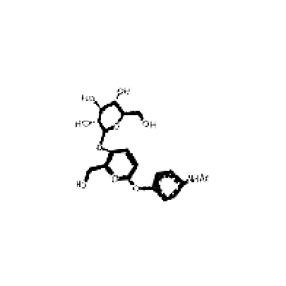 CC(=O)Nc1ccc(O[C@@H]2C=C[C@H](OC3OC(CO)[C@@H](O)[C@H](O)[C@H]3O)C(CO)O2)cc1